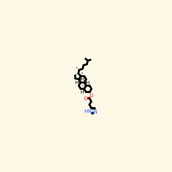 CC(C)CCC[C@@H](C)[C@H]1CC[C@H]2[C@@H]3CC[C@@H]4C[C@@H](OC(=O)CCc5cnc[nH]5)CC[C@]4(C)[C@H]3CC[C@]12C